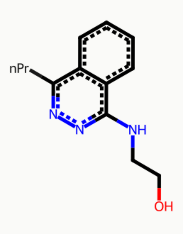 CCCc1nnc(NCCO)c2ccccc12